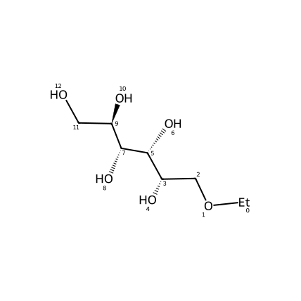 CCOC[C@H](O)[C@@H](O)[C@H](O)[C@H](O)CO